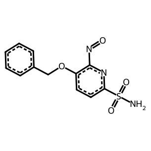 NS(=O)(=O)c1ccc(OCc2ccccc2)c(N=O)n1